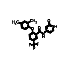 Cc1ccc(Oc2ccc(C(F)(F)F)cc2C(=O)Nc2cc[nH]c(=O)c2)c(C)c1